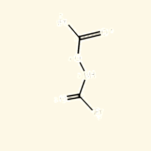 CC(C)C(=O)BOC(=O)C(C)C